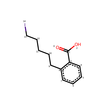 O=C(O)c1ccccc1CCCCCI